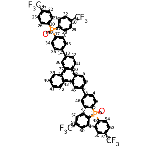 O=P(c1ccc(-c2ccc3c4ccc(-c5ccc(P(=O)(c6ccc(C(F)(F)F)cc6)c6ccc(C(F)(F)F)cc6)cc5)cc4c4ccccc4c3c2)cc1)(c1ccc(C(F)(F)F)cc1)c1ccc(C(F)(F)F)cc1